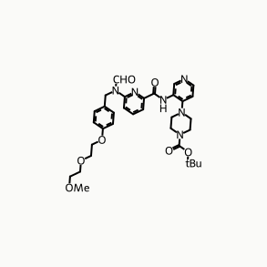 COCCOCCOc1ccc(CN(C=O)c2cccc(C(=O)Nc3cnccc3N3CCN(C(=O)OC(C)(C)C)CC3)n2)cc1